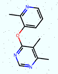 Cc1ncccc1Oc1ncnc(C)c1C